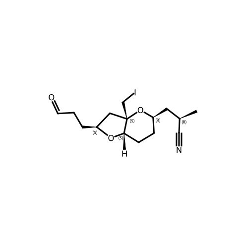 C[C@@H](C#N)C[C@H]1CC[C@@H]2O[C@@H](CCC=O)C[C@]2(CI)O1